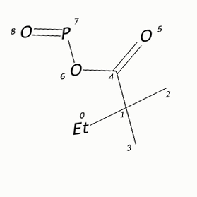 CCC(C)(C)C(=O)OP=O